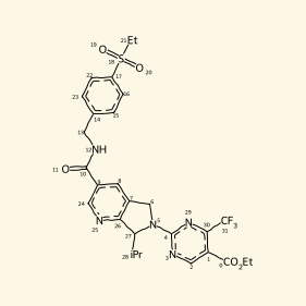 CCOC(=O)c1cnc(N2Cc3cc(C(=O)NCc4ccc(S(=O)(=O)CC)cc4)cnc3C2C(C)C)nc1C(F)(F)F